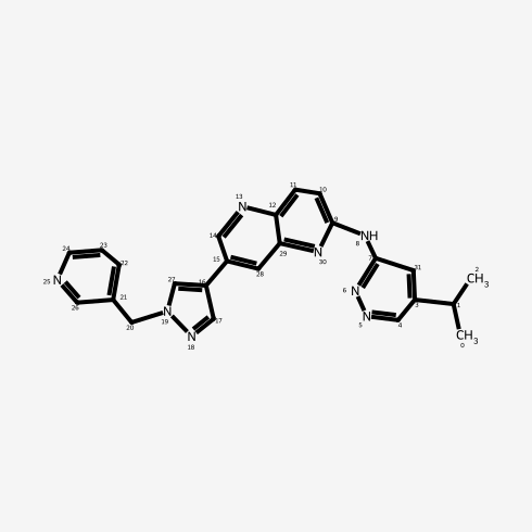 CC(C)c1cnnc(Nc2ccc3ncc(-c4cnn(Cc5cccnc5)c4)cc3n2)c1